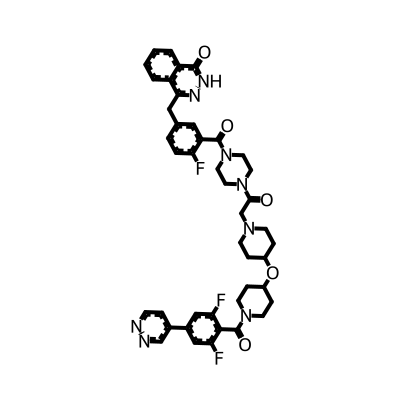 O=C(CN1CCC(OC2CCN(C(=O)c3c(F)cc(-c4ccnnc4)cc3F)CC2)CC1)N1CCN(C(=O)c2cc(Cc3n[nH]c(=O)c4ccccc34)ccc2F)CC1